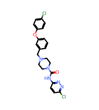 O=C(Nc1ccc(Cl)nn1)N1CCN(Cc2cccc(Oc3ccc(Cl)cc3)c2)CC1